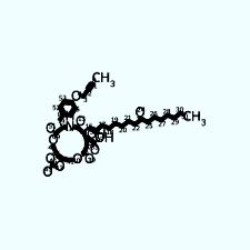 CC#CCOc1ccc(C[C@@H]2NC(=O)[C@@H](C=CCCCCCCC(=O)CCCCCCC)[C@](O)(C(=O)O)CC(=O)OCc3oc(=O)oc3COC2=O)cc1